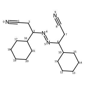 N#CCC(N=NC(CC#N)C1CCCCC1)C1CCCCC1